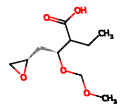 CCC(C(=O)O)[C@@H](C[C@H]1CO1)OCOC